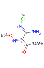 CCON=C(C(=O)OC)C(N)=NCl